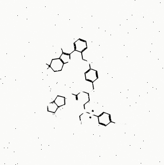 COc1ccc(S(=O)(=O)N(CC(C)C)C[C@@H](O)[C@H](Cc2ccc(OCc3ccccc3-c3sc4c(c3C(=O)O)CC(C)(C)CC4)cc2)NC(=O)O[C@@H]2C[C@@H]3[C@@H](OC(C)=O)CO[C@@H]3C2)cc1